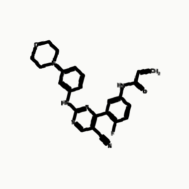 C=CC(=O)Nc1ccc(F)c(-c2nc(Nc3cccc(N4CCOCC4)c3)ncc2C#N)c1